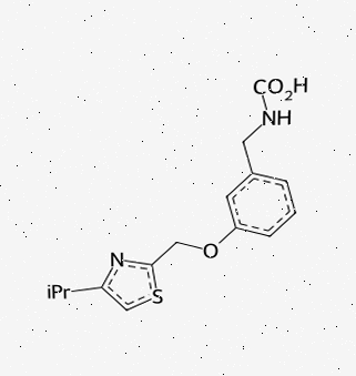 CC(C)c1csc(COc2cccc(CNC(=O)O)c2)n1